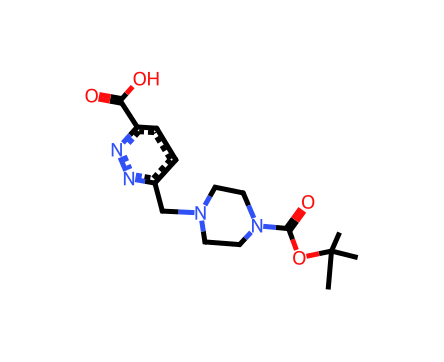 CC(C)(C)OC(=O)N1CCN(Cc2ccc(C(=O)O)nn2)CC1